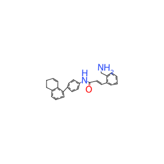 NCc1ccccc1C=CC(=O)Nc1ccc(-c2cccc3c2C=CCC3)cc1